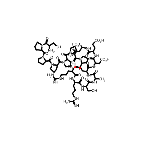 CC(NC(=O)C(CO)NC(=O)C(CCCNC(=N)N)NC(=O)C(CCCNC(=N)N)NC(=O)C1CCCN1C(=O)C1CCCN1C(=O)C1CCCN1C(=O)C1CCCN1C(=O)C1CCCN1C(=O)C1CCCN1C(=O)C(N)CS)C(=O)NC(CCC(=O)O)C(=O)NC(CC(=O)O)C(=O)NC(CCC(=O)O)C(=O)NC(CC(N)=O)C(=O)O